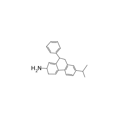 CC(C)c1ccc2c(c1)CC(c1ccccc1)C1=CC(N)CC=C12